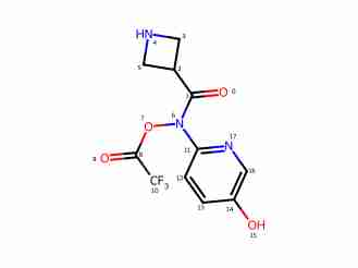 O=C(C1CNC1)N(OC(=O)C(F)(F)F)c1ccc(O)cn1